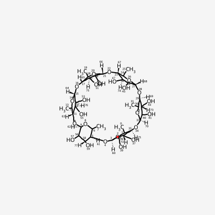 CC1O[C@@H]2O[C@@H]3C(C)O[C@H](O[C@@H]4C(C)O[C@H](O[C@@H]5C(C)O[C@H](O[C@@H]6C(C)O[C@H](O[C@@H]7C(C)O[C@H](O[C@H]1[C@H](O)C2O)C(O)[C@H]7O)C(O)[C@H]6O)C(O)[C@H]5O)C(O)[C@H]4O)C(O)[C@H]3O